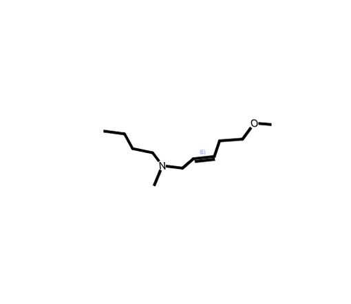 CCCCN(C)C/C=C/CCOC